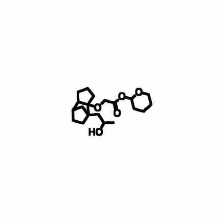 CC(O)CC12CCC(C1)C1CCCC12OCC(=O)OC1CCCCO1